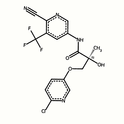 C[C@](O)(COc1ccc(Cl)nc1)C(=O)Nc1cnc(C#N)c(C(F)(F)F)c1